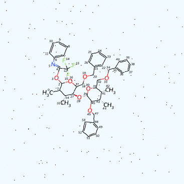 CC1C(O/C(=N/c2ccccc2)C(F)(F)F)OC(COCc2ccccc2)[C@@H](O[C@@H]2OC(COCc3ccccc3)[C@H](C)[C@H](C)C2OCc2ccccc2)[C@@H]1C